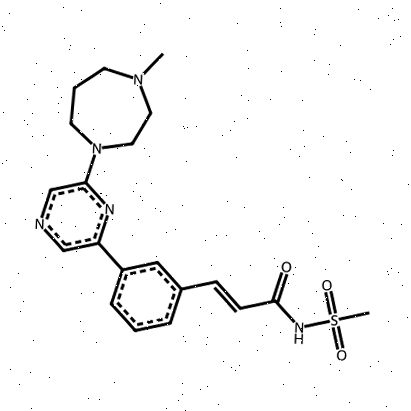 CN1CCCN(c2cncc(-c3cccc(/C=C/C(=O)NS(C)(=O)=O)c3)n2)CC1